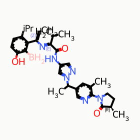 Bc1c(O)ccc(C(C)C)c1C(=C/C)/N=C(\C(=C)C)C(=O)Nc1cnn(C(C)c2cnc(N3CC[C@@H](C)C3=O)c(C)c2)c1